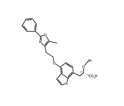 Cc1oc(-c2ccccc2)nc1CCOc1ccc(C[C@H](OC(C)C)C(=O)O)c2sccc12